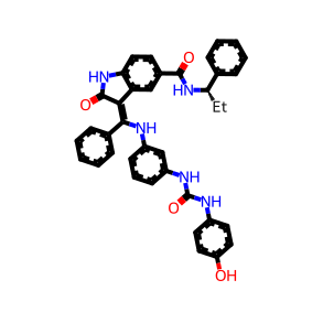 CC[C@@H](NC(=O)c1ccc2c(c1)C(=C(Nc1cccc(NC(=O)Nc3ccc(O)cc3)c1)c1ccccc1)C(=O)N2)c1ccccc1